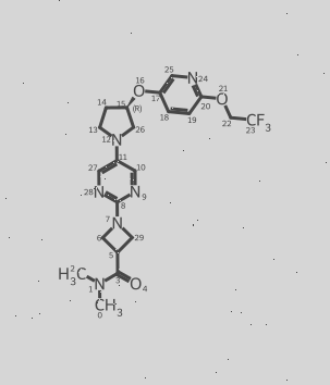 CN(C)C(=O)C1CN(c2ncc(N3CC[C@@H](Oc4ccc(OCC(F)(F)F)nc4)C3)cn2)C1